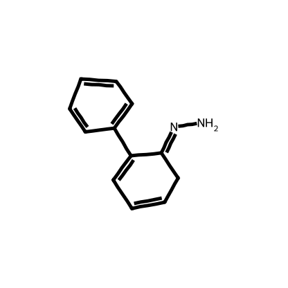 NN=C1CC=CC=C1c1ccccc1